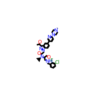 CC(=O)c1nn(CC(=O)N(C(C=O)CNCc2cccc(Cl)c2F)C2CC2)c2ccc(-c3ccc(N4CCN(C)CC4)nc3)cc12